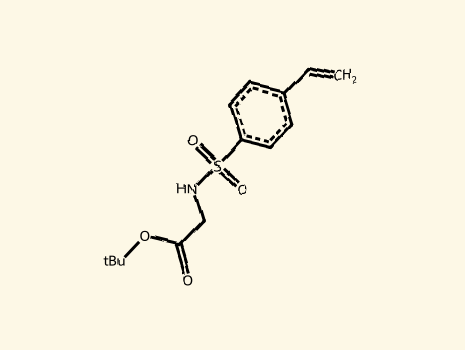 C=Cc1ccc(S(=O)(=O)NCC(=O)OC(C)(C)C)cc1